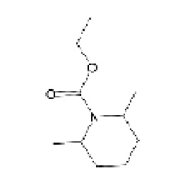 CCOC(=O)N1C(C)CCCC1C